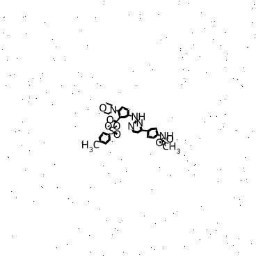 Cc1ccc(S(=O)(=O)OC(=O)c2cc(Nc3nccc(-c4ccc(NS(C)(=O)=O)cc4)n3)ccc2N2CCOCC2)cc1